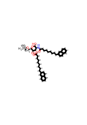 CC(C)(C)[Si](C)(C)OC[C@H]1O[C@H](O)[C@@H](NC(=O)CCCCCCCCc2ccc3ccccc3c2)[C@@H](OC(=O)CCCCCCCCc2ccc3ccccc3c2)[C@@H]1O